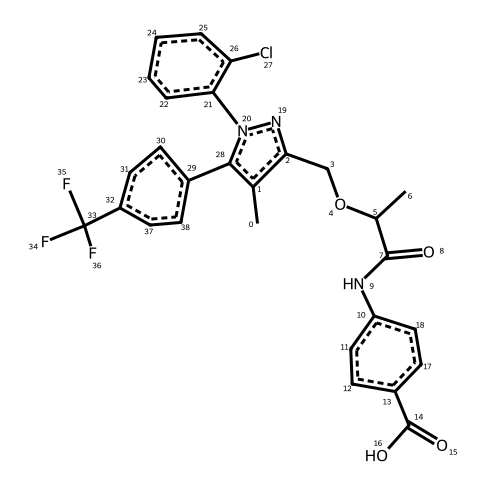 Cc1c(COC(C)C(=O)Nc2ccc(C(=O)O)cc2)nn(-c2ccccc2Cl)c1-c1ccc(C(F)(F)F)cc1